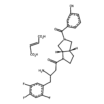 N#Cc1cccc(C(=O)N2C[C@@H]3CCN(C(=O)CC(N)Cc4cc(F)c(F)cc4F)[C@@H]3C2)c1.O=C(O)C=CC(=O)O